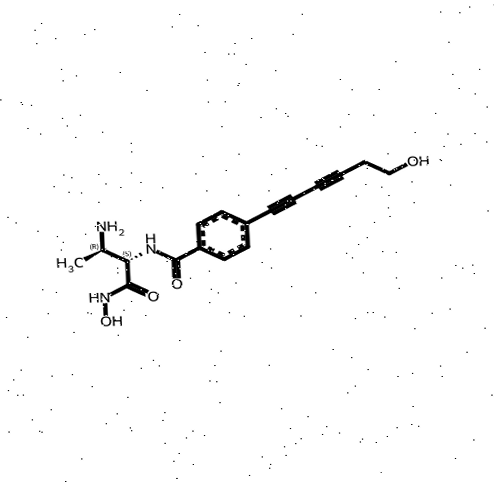 C[C@@H](N)[C@H](NC(=O)c1ccc(C#CC#CCCO)cc1)C(=O)NO